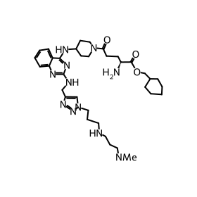 CNCCCNCCCn1cc(CNc2nc(NC3CCN(C(=O)CC[C@H](N)C(=O)OCC4CCCCC4)CC3)c3ccccc3n2)nn1